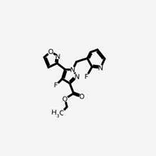 CCOC(=O)c1nn(Cc2cccnc2F)c(-c2ccon2)c1F